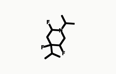 CC(C)N1CC(F)C(F)(C(C)C)CC1F